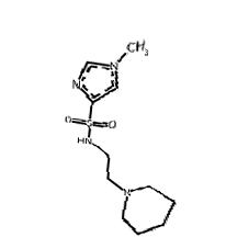 Cn1cnc(S(=O)(=O)NCCN2CCCCC2)c1